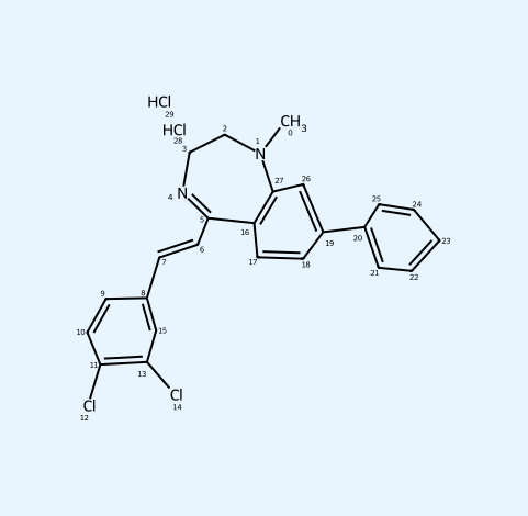 CN1CCN=C(C=Cc2ccc(Cl)c(Cl)c2)c2ccc(-c3ccccc3)cc21.Cl.Cl